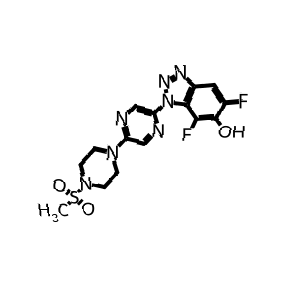 CS(=O)(=O)N1CCN(c2cnc(-n3nnc4cc(F)c(O)c(F)c43)cn2)CC1